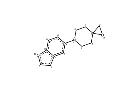 c1cc2cc(N3CCC4(CC3)CO4)ccc2o1